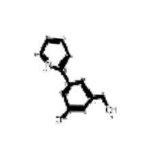 OCc1cc(Cl)cc(-c2ccccn2)c1